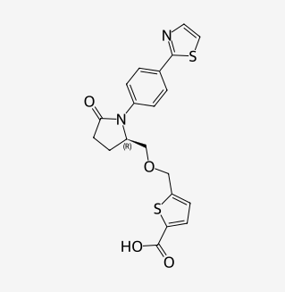 O=C(O)c1ccc(COC[C@H]2CCC(=O)N2c2ccc(-c3nccs3)cc2)s1